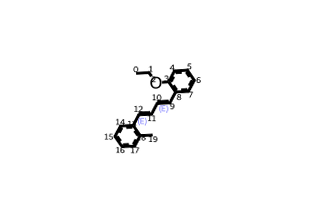 CCOc1ccccc1/C=C/C=C/c1ccccc1C